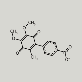 COC1=C(OC)C(=O)C(c2ccc([N+](=O)[O-])cc2)=C(C)C1=O